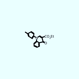 CCOC(=O)c1cn(-c2ccc(C)cc2)c2ccccc2c1=O